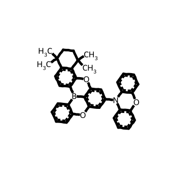 CC1(C)CCC(C)(C)c2c1ccc1c2Oc2cc(N3c4ccccc4Oc4ccccc43)cc3c2B1c1ccccc1O3